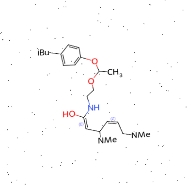 CCC(C)c1ccc(OC(C)OCCN/C(O)=C\C(/C=C\CNC)NC)cc1